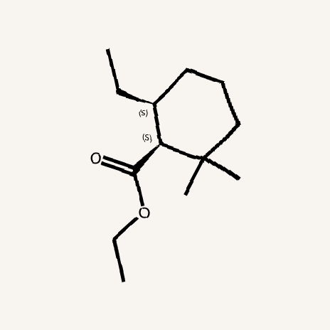 CCOC(=O)[C@H]1[C@@H](CC)CCCC1(C)C